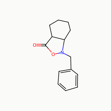 O=C1ON(Cc2ccccc2)C2CCCCC12